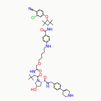 CC(C)(C)[C@H](NC(=O)COCCCCCNc1ccc(C(=O)N[C@H]2C(C)(C)[C@H](Oc3ccc(C#N)c(Cl)c3)C2(C)C)cc1)C(=O)N1C[C@H](O)C[C@H]1C(=O)NCc1ccc(C2=CCNCC2)cc1